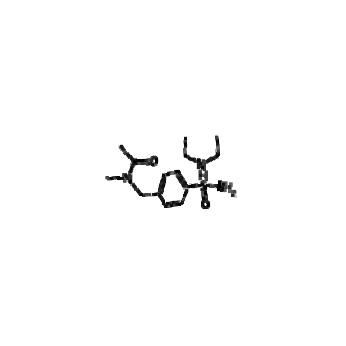 B[SH](=O)(c1ccc(CN(C)C(C)=O)cc1)N(CC)CC